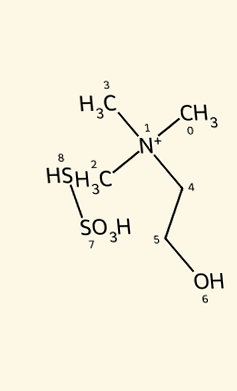 C[N+](C)(C)CCO.O=S(=O)(O)S